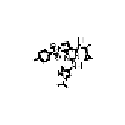 Cc1ccc(S(=O)(=O)n2ccc3c(N[C@@H](C)C4CC4)nc(Nc4cn(C(C)C)nn4)nc32)cc1